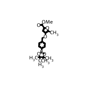 COC(=O)c1cc(OCc2ccc(B3OC(C)(C)C(C)(C)O3)cc2)c(C)o1